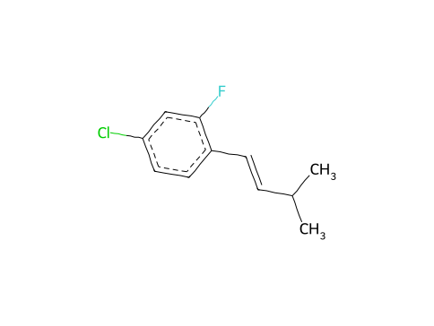 CC(C)/C=C/c1ccc(Cl)cc1F